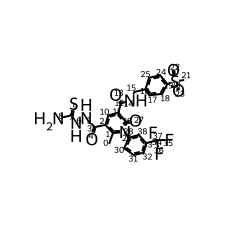 Cc1c(C(=O)NNC(N)=S)cc(C(=O)NCc2ccc(S(C)(=O)=O)cc2)c(=O)n1-c1cccc(C(F)(F)F)c1